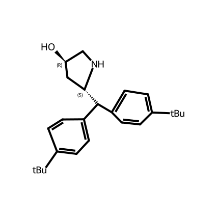 CC(C)(C)c1ccc(C(c2ccc(C(C)(C)C)cc2)[C@@H]2C[C@@H](O)CN2)cc1